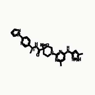 COC1(C(=O)N[C@@H](C)c2ccc(-n3cccn3)nc2)CCN(c2nc(C)cc(Nc3cc(C)[nH]n3)n2)CC1